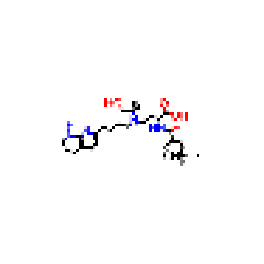 CCC(CC)C(=O)NC(CCN(CCCCc1ccc2c(n1)NCCC2)C1(CO)CC1)C(=O)O